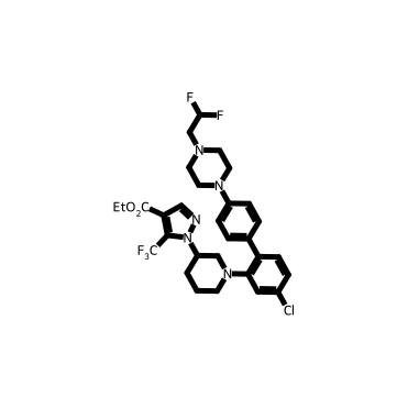 CCOC(=O)c1cnn(C2CCCN(c3cc(Cl)ccc3-c3ccc(N4CCN(CC(F)F)CC4)cc3)C2)c1C(F)(F)F